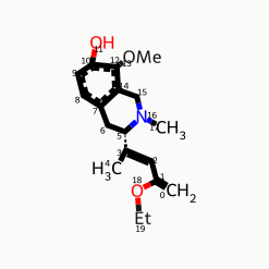 C=C(/C=C(\C)[C@@H]1Cc2ccc(O)c(OC)c2CN1C)OCC